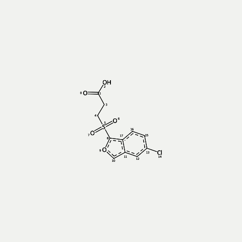 O=C(O)CCS(=O)(=O)c1occ2cc(Cl)ccc12